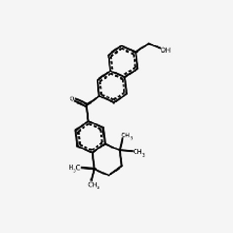 CC1(C)CCC(C)(C)c2cc(C(=O)c3ccc4cc(CO)ccc4c3)ccc21